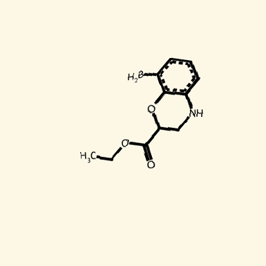 Bc1cccc2c1OC(C(=O)OCC)CN2